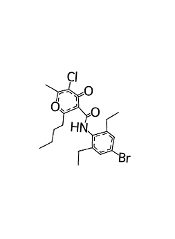 CCCCc1oc(C)c(Cl)c(=O)c1C(=O)Nc1c(CC)cc(Br)cc1CC